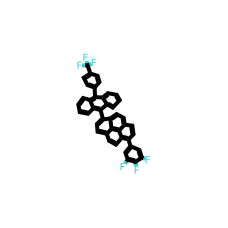 Fc1cc(-c2ccc3ccc4c(-c5c6ccccc6c(-c6ccc(C(F)(F)F)cc6)c6ccccc56)ccc5ccc2c3c54)cc(F)c1F